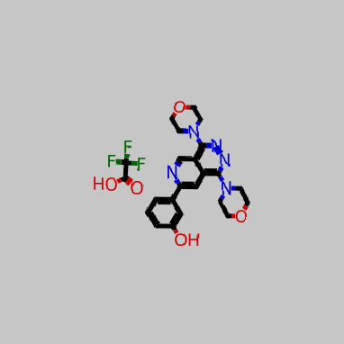 O=C(O)C(F)(F)F.Oc1cccc(-c2cc3c(N4CCOCC4)nnc(N4CCOCC4)c3cn2)c1